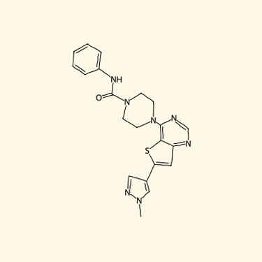 Cn1cc(-c2cc3ncnc(N4CCN(C(=O)Nc5ccccc5)CC4)c3s2)cn1